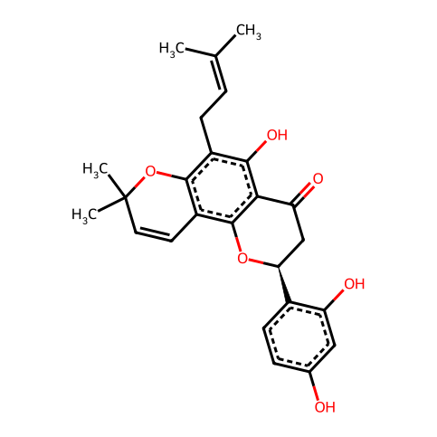 CC(C)=CCc1c(O)c2c(c3c1OC(C)(C)C=C3)O[C@H](c1ccc(O)cc1O)CC2=O